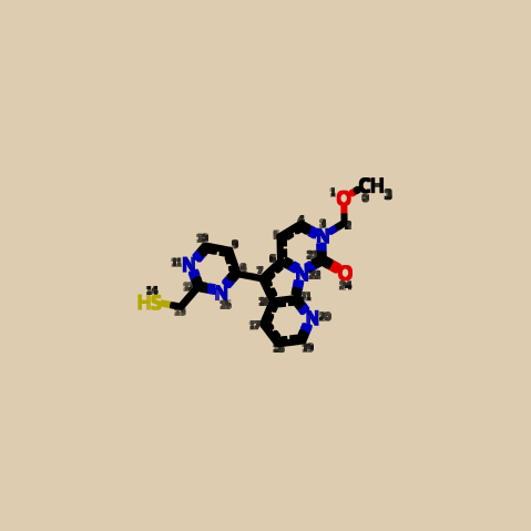 COCn1ccc2c(-c3ccnc(CS)n3)c3cccnc3n2c1=O